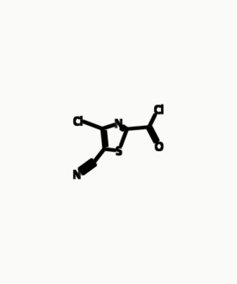 N#Cc1sc(C(=O)Cl)nc1Cl